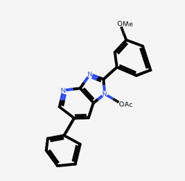 COc1cccc(-c2nc3ncc(-c4ccccc4)cc3n2OC(C)=O)c1